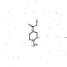 CC(C)N1CCN(C(=O)C[O])CC1